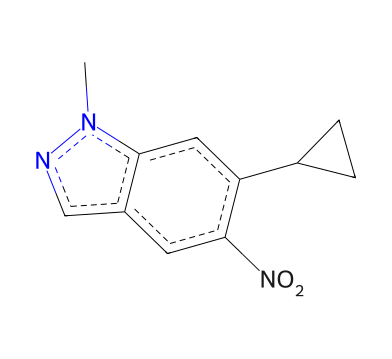 Cn1ncc2cc([N+](=O)[O-])c(C3CC3)cc21